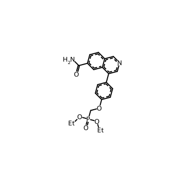 CCOP(=O)(COc1ccc(-c2cncc3ccc(C(N)=O)cc23)cc1)OCC